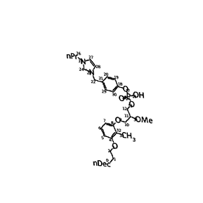 CCCCCCCCCCCCOc1cccc(OCC(COP(=O)(O)Oc2ccc(CN3[CH]N(CCC)C=C3)cc2)OC)c1C